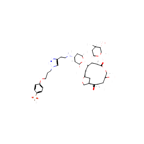 CC[C@H]1OC(=O)[C@H](C)[C@@H](O[C@H]2C[C@@](C)(OC)[C@@H](O)[C@H](C)O2)[C@H](C)[C@@H](O[C@@H]2O[C@H](C)C[C@H](N(C)CCc3cn(CCCOc4ccc(S(C)(=O)=O)cc4)nn3)[C@H]2O)[C@@]2(C)C[C@@H](CO2)C(=O)[C@H](C)[C@@H](O)[C@]1(C)O